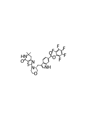 CC1(C)Cc2nc(N3CCOC[C@@H]3Cc3c[nH]c4cc(C(=O)Oc5c(F)c(F)c(F)c(F)c5F)ccc34)sc2C(=O)N1